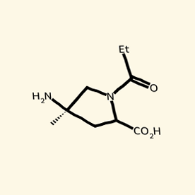 CCC(=O)N1C[C@](C)(N)CC1C(=O)O